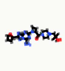 CC(C)(O)CN1CCN(C(=O)[C@@H]2CCN2c2nc(N)n3nc(-c4ccco4)nc3n2)CC1